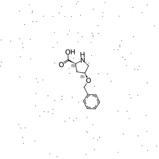 O=C(O)[C@@H]1C[C@H](OCc2ccccc2)CN1